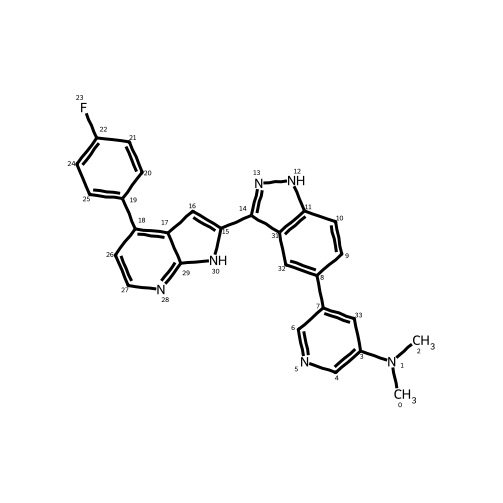 CN(C)c1cncc(-c2ccc3[nH]nc(-c4cc5c(-c6ccc(F)cc6)ccnc5[nH]4)c3c2)c1